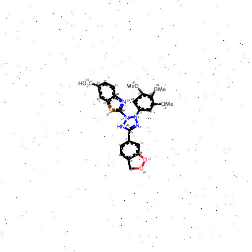 COc1cc(N2N=C(c3ccc4c(c3)OOC4)NN2c2nc3ccc(C(=O)O)cc3s2)cc(OC)c1OC